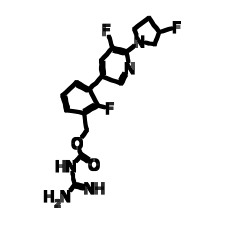 N=C(N)NC(=O)OCc1cccc(-c2cnc(N3CCC(F)C3)c(F)c2)c1F